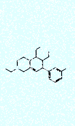 CCN1CCC2C(=CC(c3cccc(Cl)c3)C(CO)C2CO)C1